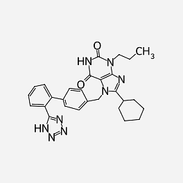 CCCn1c(=O)[nH]c(=O)c2c1nc(C1CCCCC1)n2Cc1ccc(-c2ccccc2-c2nnn[nH]2)cc1